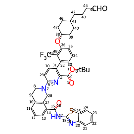 CC(C)(C)OC(=O)c1nc(N2CCc3cccc(C(=O)Nc4nc5ccccc5s4)c3C2)ccc1-c1cccc(OC2CCC(CCCC=O)CC2)c1C(F)(F)F